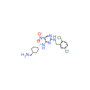 NC[C@H]1CC[C@H](CNc2nc(NCc3cc(Cl)ccc3Cl)ncc2[N+](=O)[O-])CC1